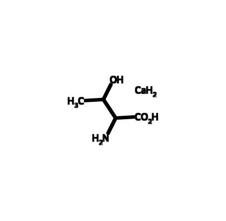 CC(O)C(N)C(=O)O.[CaH2]